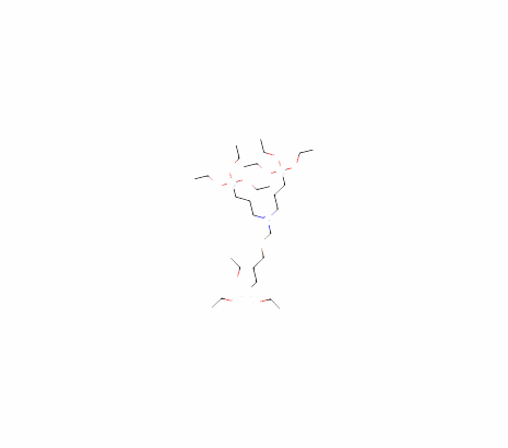 CCO[Si](CCCSCN(CCC[Si](OCC)(OCC)OCC)CCC[Si](OCC)(OCC)OCC)(OCC)OCC